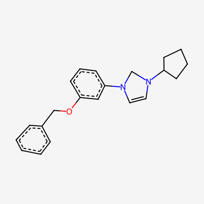 C1=CN(C2CCCC2)CN1c1cccc(OCc2ccccc2)c1